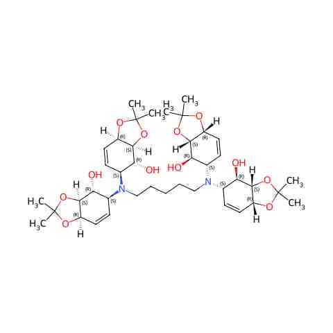 CC1(C)O[C@H]2[C@H](O)[C@@H](N(CCCCCN([C@H]3C=C[C@H]4OC(C)(C)O[C@H]4[C@@H]3O)[C@H]3C=C[C@H]4OC(C)(C)O[C@H]4[C@@H]3O)[C@H]3C=C[C@H]4OC(C)(C)O[C@H]4[C@@H]3O)C=C[C@H]2O1